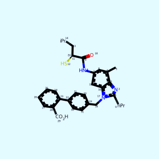 CCCc1nc2c(C)cc(NC(=O)[C@@H](S)CC(C)C)cc2n1Cc1ccc(-c2ccccc2C(=O)O)cc1